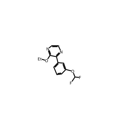 CCOc1nc[c]nc1-c1cccc(OC(F)F)c1